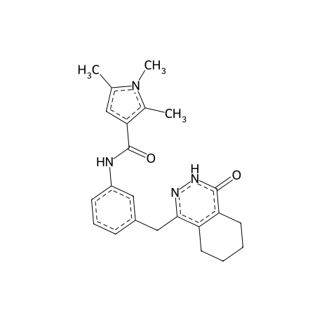 Cc1cc(C(=O)Nc2cccc(Cc3n[nH]c(=O)c4c3CCCC4)c2)c(C)n1C